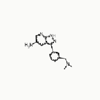 CN(C)Cc1cccc(-c2n[nH]c3ncc(N)cc23)c1